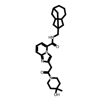 CC1(O)CCN(C(=O)Cc2cn3c(C(=O)NCC45CC6CCCC(C4)C(C6)C5)cccc3n2)CC1